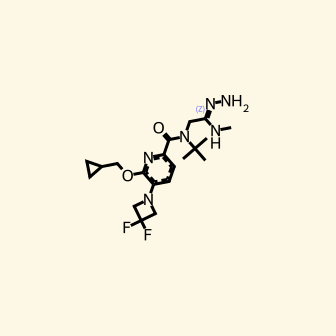 CN/C(CN(C(=O)c1ccc(N2CC(F)(F)C2)c(OCC2CC2)n1)C(C)(C)C)=N\N